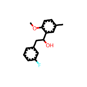 COc1ccc(C)cc1C(O)Cc1cccc(F)c1